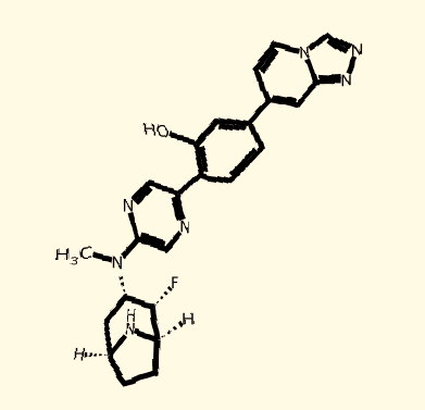 CN(c1cnc(-c2ccc(-c3ccn4cnnc4c3)cc2O)cn1)[C@H]1C[C@@H]2CC[C@@H](N2)[C@H]1F